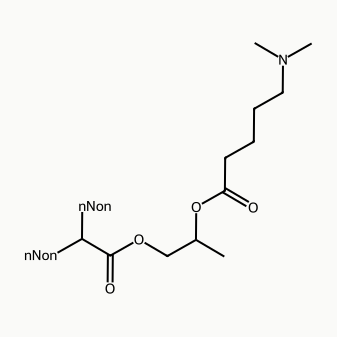 CCCCCCCCCC(CCCCCCCCC)C(=O)OCC(C)OC(=O)CCCCN(C)C